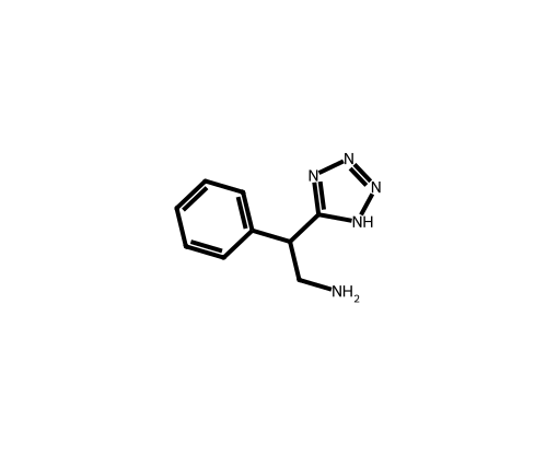 NCC(c1ccccc1)c1nnn[nH]1